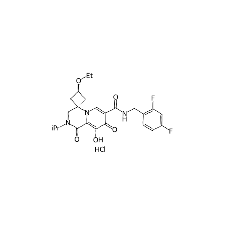 CCO[C@H]1C[C@]2(CN(C(C)C)C(=O)c3c(O)c(=O)c(C(=O)NCc4ccc(F)cc4F)cn32)C1.Cl